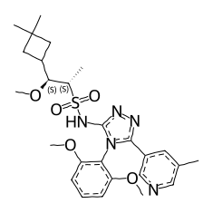 COc1cccc(OC)c1-n1c(NS(=O)(=O)[C@@H](C)[C@@H](OC)C2CC(C)(C)C2)nnc1-c1cncc(C)c1